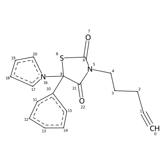 C#CCCCN1C(=O)SC(c2ccccc2)(n2cccc2)C1=O